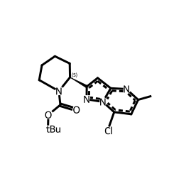 Cc1cc(Cl)n2nc([C@@H]3CCCCN3C(=O)OC(C)(C)C)cc2n1